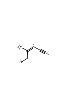 C/C(CCl)=N/C#N